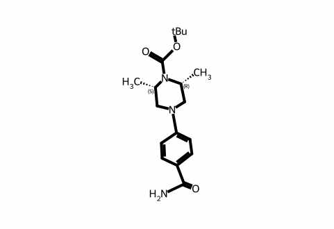 C[C@@H]1CN(c2ccc(C(N)=O)cc2)C[C@H](C)N1C(=O)OC(C)(C)C